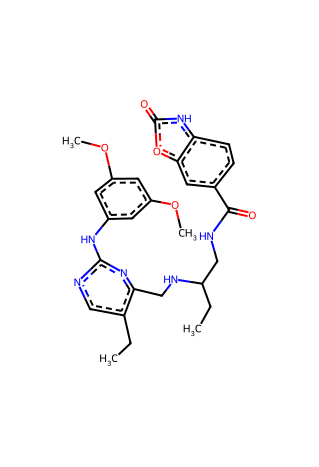 CCc1cnc(Nc2cc(OC)cc(OC)c2)nc1CNC(CC)CNC(=O)c1ccc2[nH]c(=O)oc2c1